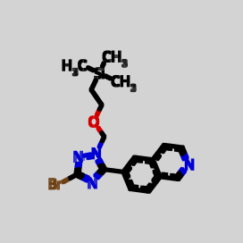 C[Si](C)(C)CCOCn1nc(Br)nc1-c1ccc2cnccc2c1